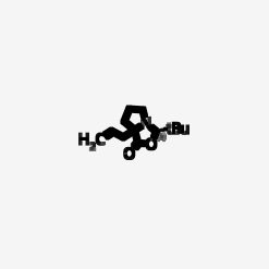 C=CCC12CCCN1[C@H](C(C)(C)C)OC2=O